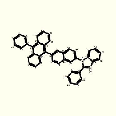 c1ccc(-c2c3ccccc3c(-c3ccc4cc(-n5c(-c6ccccc6)nc6ccccc65)ccc4c3)c3ccccc23)cc1